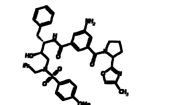 COc1ccc(S(=O)(=O)N(CC(C)C)C[C@@H](O)[C@H](Cc2ccccc2)NC(=O)c2cc(N)cc(C(=O)N3CCCC3c3nc(C)co3)c2)cc1